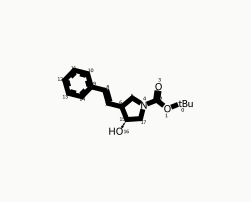 CC(C)(C)OC(=O)N1CC(C=Cc2ccccc2)[C@@H](O)C1